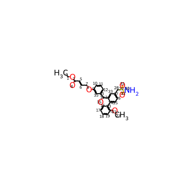 CCOC(=O)C=CCOc1cccc(C2Oc3cccc(OC)c3-c3ccc(CS(N)(=O)=O)cc32)c1